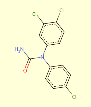 NC(=O)N(c1ccc(Cl)cc1)c1ccc(Cl)c(Cl)c1